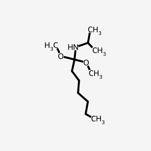 CCCCCCC(NC(C)C)(OC)OC